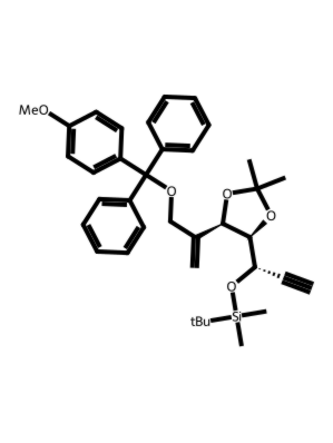 C#C[C@H](O[Si](C)(C)C(C)(C)C)[C@@H]1OC(C)(C)O[C@@H]1C(=C)COC(c1ccccc1)(c1ccccc1)c1ccc(OC)cc1